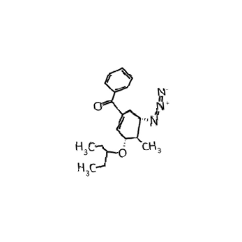 CCC(CC)O[C@@H]1C=C(C(=O)c2ccccc2)C[C@H](N=[N+]=[N-])[C@H]1C